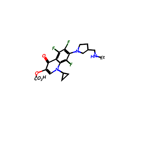 CCNCC1CCN(c2c(F)c(F)c3c(=O)c(OC(=O)O)cn(C4CC4)c3c2F)C1